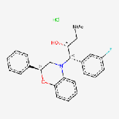 CNC[C@@H](O)[C@H](c1cccc(F)c1)N1C[C@H](c2ccccc2)Oc2ccccc21.Cl